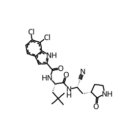 CC(C)(C)C[C@H](NC(=O)c1cc2ccc(Cl)c(Cl)c2[nH]1)C(=O)N[C@H](C#N)C[C@@H]1CCNC1=O